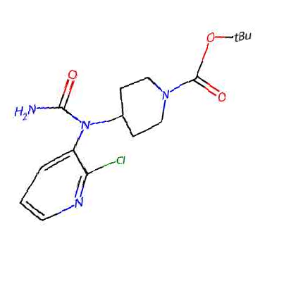 CC(C)(C)OC(=O)N1CCC(N(C(N)=O)c2cccnc2Cl)CC1